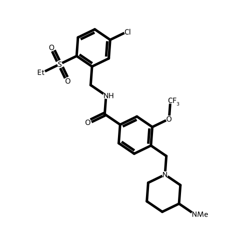 CCS(=O)(=O)c1ccc(Cl)cc1CNC(=O)c1ccc(CN2CCCC(NC)C2)c(OC(F)(F)F)c1